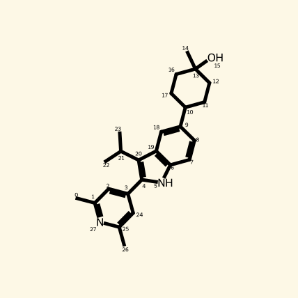 Cc1cc(-c2[nH]c3ccc(C4CCC(C)(O)CC4)cc3c2C(C)C)cc(C)n1